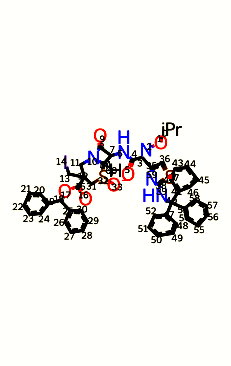 CC(C)ON=C(C(=O)NC1C(=O)N2CC(CI)(C(=O)OC(c3ccccc3)c3ccccc3)C[S+]([O-])[C@H]12)c1csc(NC(c2ccccc2)(c2ccccc2)c2ccccc2)n1